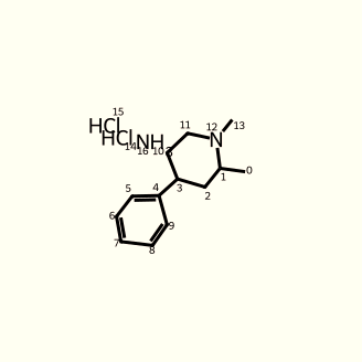 CC1CC(c2ccccc2)CCN1C.Cl.Cl.N